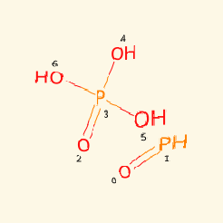 O=P.O=P(O)(O)O